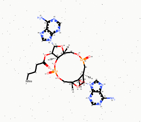 CNCCCC(=O)O[C@@H]1[C@@H]2O[PH](=O)OC[C@H]3O[C@@H](n4cnc5c(N)ncnc54)[C@H](C[PH](=O)OC[C@H]2O[C@H]1n1cnc2c(N)ncnc21)[C@@H]3O